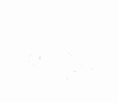 COc1ccc(COCCN(C)CCO[C@@H]2C[C@H](C)CC[C@H]2C(C)C)cc1OC.O=C(O)/C=C/C(=O)O